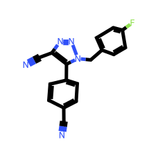 N#Cc1ccc(-c2c(C#N)nnn2Cc2ccc(F)cc2)cc1